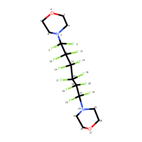 FC(F)(N1CCOCC1)C(F)(F)C(F)(F)C(F)(F)C(F)(F)C(F)(F)N1CCOCC1